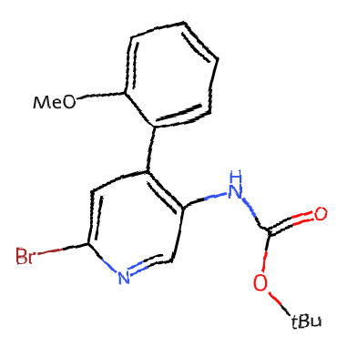 COc1ccccc1-c1cc(Br)ncc1NC(=O)OC(C)(C)C